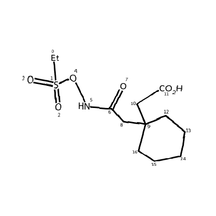 CCS(=O)(=O)ONC(=O)CC1(CC(=O)O)CCCCC1